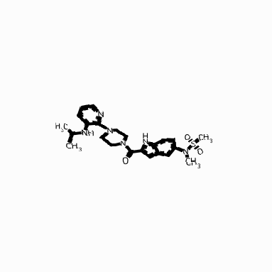 CC(C)Nc1cccnc1N1CCN(C(=O)c2cc3cc(N(C)S(C)(=O)=O)ccc3[nH]2)CC1